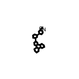 c1cc(-c2ccc3ncoc3c2)cc(-c2ccc3c4ccccc4c4ccccc4c3c2)c1